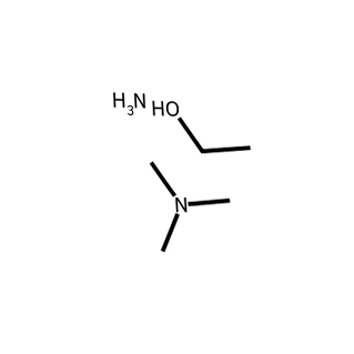 CCO.CN(C)C.N